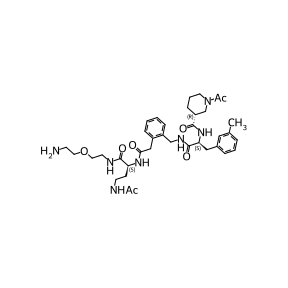 CC(=O)NCC[C@H](NC(=O)Cc1ccccc1CNC(=O)[C@H](Cc1cccc(C)c1)NC(=O)[C@@H]1CCCN(C(C)=O)C1)C(=O)NCCOCCN